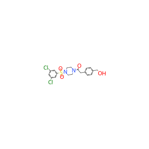 O=C(Cc1ccc(CO)cc1)N1CCN(S(=O)(=O)c2cc(Cl)cc(Cl)c2)CC1